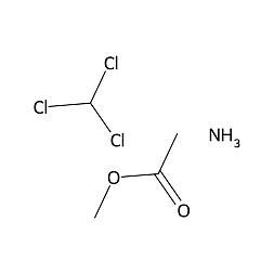 COC(C)=O.ClC(Cl)Cl.N